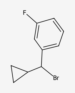 Fc1cccc(C(Br)C2CC2)c1